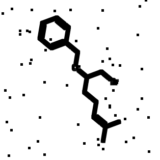 CC(C)=CCCC(CBr)OCc1ccccc1